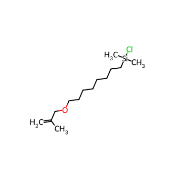 C=C(C)COCCCCCCCC[Si](C)(C)Cl